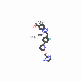 COCCn1c(Cc2ccc(-c3cccc(OCc4nccn4C)n3)cc2F)nc2ccc(C(=O)OC)cc21